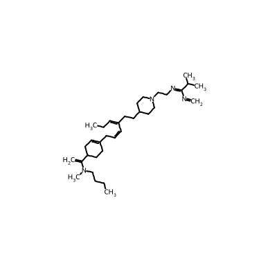 C=N/C(=N\CCN1CCC(CCC(/C=C\CC2=CCC(C(=C)N(C)CCCC)CC2)=C/CC)CC1)C(C)C